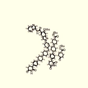 CC(C)(C)OC(=O)N1CCC(=O)CC1.CC(C)(C)OC(=O)N1CCC(N2CCN(c3ccc(C4CCC(=O)NC4=O)cc3)CC2)CC1.COc1cc2nn(C3CCC(CN4CCC(N5CCN(c6ccc(C7CCC(=O)NC7=O)cc6)CC5)CC4)CC3)cc2cc1C(=O)Nc1cnc2cccnn12